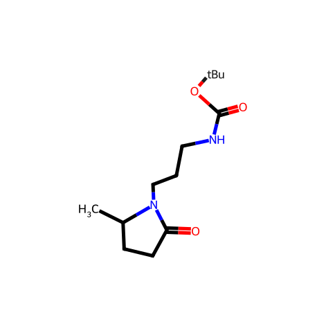 CC1CCC(=O)N1CCCNC(=O)OC(C)(C)C